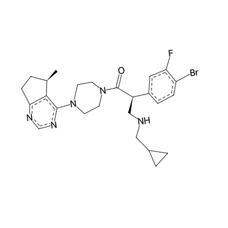 C[C@@H]1CCc2ncnc(N3CCN(C(=O)[C@H](CNCC4CC4)c4ccc(Br)c(F)c4)CC3)c21